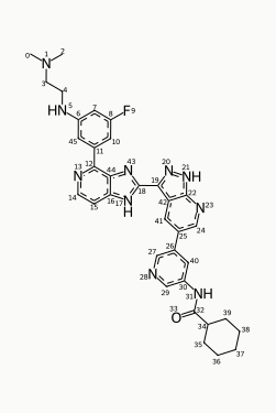 CN(C)CCNc1cc(F)cc(-c2nccc3[nH]c(-c4n[nH]c5ncc(-c6cncc(NC(=O)C7CCCCC7)c6)cc45)nc23)c1